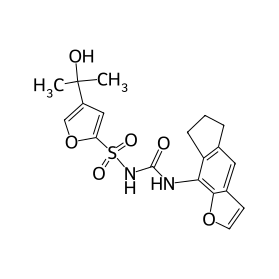 CC(C)(O)c1coc(S(=O)(=O)NC(=O)Nc2c3c(cc4ccoc24)CCC3)c1